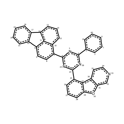 c1ccc(-c2nc(-c3ccc4c5c(cccc35)-c3ccccc3-4)nc(-c3cccc4oc5cnccc5c34)n2)cc1